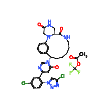 CC(=O)OC(F)(F)F.O=C1CN2c3cccc(c3)[C@@H](n3cnc(-c4cc(Cl)ccc4-n4cc(Cl)nn4)cc3=O)CCCCCNC(=O)C2CN1